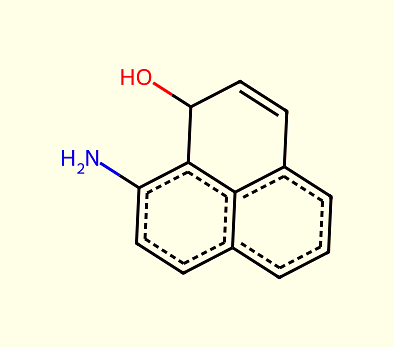 Nc1ccc2cccc3c2c1C(O)C=C3